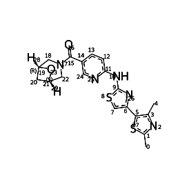 Cc1nc(C)c(-c2csc(Nc3ccc(C(=O)N4C[C@H]5C[C@@H](C4)O5)cn3)n2)s1